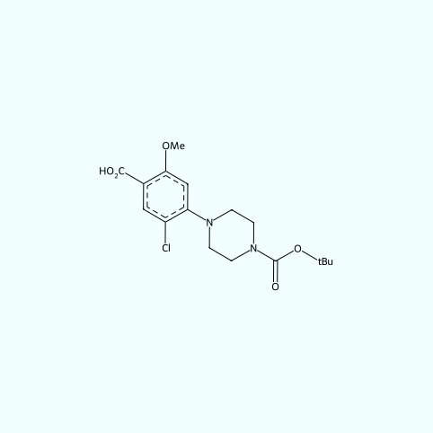 COc1cc(N2CCN(C(=O)OC(C)(C)C)CC2)c(Cl)cc1C(=O)O